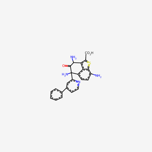 Nc1ccc2c3c(c(C(=O)O)sc13)C(N)C(=O)C2(N)c1cc(-c2ccccc2)ccn1